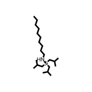 CCCCCCCCCCN[Si](CC(C)C)(CC(C)C)CC(C)C